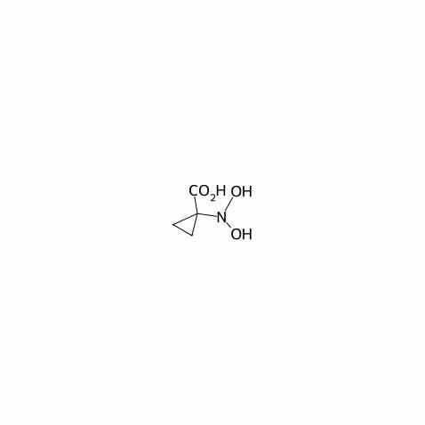 O=C(O)C1(N(O)O)CC1